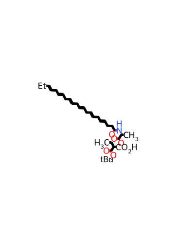 CCC=CCC=CCC=CCC=CCC=CCC=CCCC(=O)NC(C)C(=O)OC(C)C(C(=O)O)C(=O)OC(C)(C)C